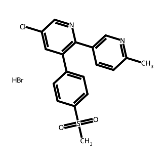 Br.Cc1ccc(-c2ncc(Cl)cc2-c2ccc(S(C)(=O)=O)cc2)cn1